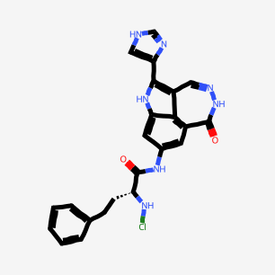 O=C1NN=Cc2c(-c3c[nH]cn3)[nH]c3cc(NC(=O)[C@@H](CCc4ccccc4)NCl)cc1c23